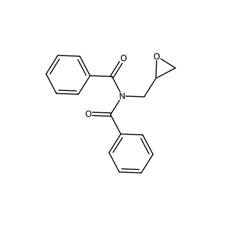 O=C(c1ccccc1)N(CC1CO1)C(=O)c1ccccc1